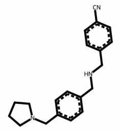 N#Cc1ccc(CNCc2ccc(CN3CCCC3)cc2)cc1